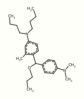 CCCCN(CCCC)c1ccc(C(OCCC)c2ccc(N(C)C)cc2)c(C)c1